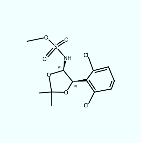 COS(=O)(=O)N[C@@H]1OC(C)(C)O[C@@H]1c1c(Cl)cccc1Cl